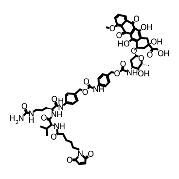 COc1cccc2c1C(=O)c1c(O)c3c(c(O)c1C2=O)C[C@@](O)(C(=O)CO)C[C@@H]3O[C@H]1C[C@@H](NC(=O)OCc2ccc(NC(=O)OCc3ccc(NC(=O)[C@H](CCCNC(N)=O)NC(=O)[C@@H](NC(=O)CCCCCN4C(=O)C=CC4=O)C(C)C)cc3)cc2)[C@H](O)[C@@H](C)O1